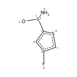 N[S+]([O-])c1cc(F)cs1